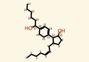 CCCC/C=C\CC1CCC(O)C1C1=CC=C(C(O)CCCCC)CC1